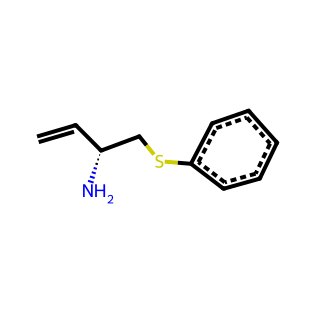 C=C[C@@H](N)CSc1ccccc1